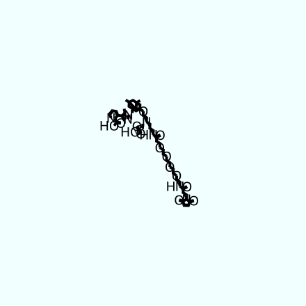 Cc1c(-c2cccnc2C(=O)O)cnn1CC12CC3(C)CC(C)(C1)CC(OCCN(CCCNC(=O)CCOCCOCCOCCOCCNC(=O)CCN1C(=O)C=CC1=O)CCS(=O)(=O)O)(C3)C2